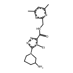 CCn1c(C(=O)NCc2nc(C)cc(C)n2)nnc1N1CCCC(N)C1